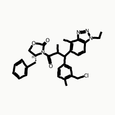 CCn1nnc2c(C)c(C(c3ccc(C)c(CCl)c3)C(C)C(=O)N3C(=O)OC[C@H]3Cc3ccccc3)ccc21